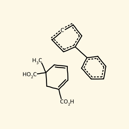 CC1(C(=O)O)C=CC=C(C(=O)O)C1.c1ccc(-c2ccccc2)cc1